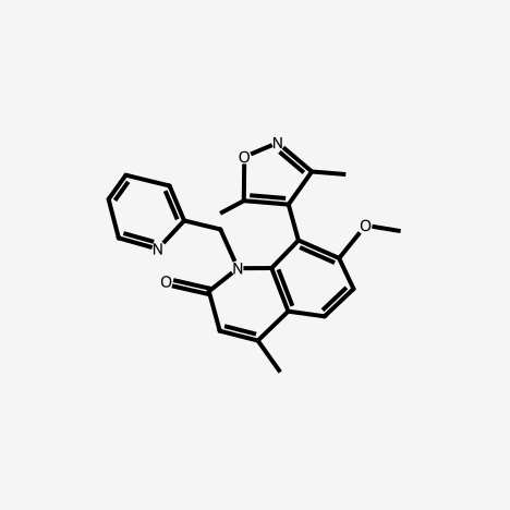 COc1ccc2c(C)cc(=O)n(Cc3ccccn3)c2c1-c1c(C)noc1C